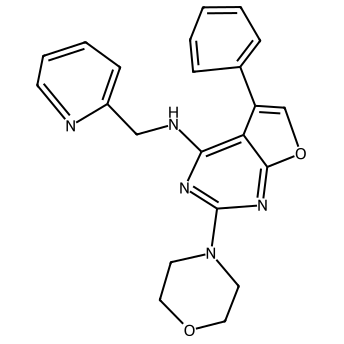 c1ccc(-c2coc3nc(N4CCOCC4)nc(NCc4ccccn4)c23)cc1